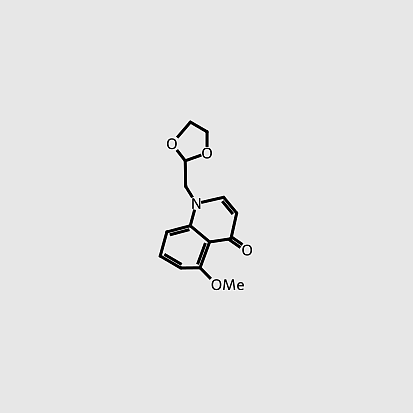 COc1cccc2c1c(=O)ccn2CC1OCCO1